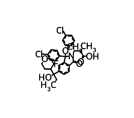 CC[C@@](O)(c1ccc2c(c1F)[C@](OC)(c1ccc(Cl)cc1)N([C@H](c1ccc(Cl)cc1)[C@H](C)C(=O)O)C2=O)C1CCOCC1